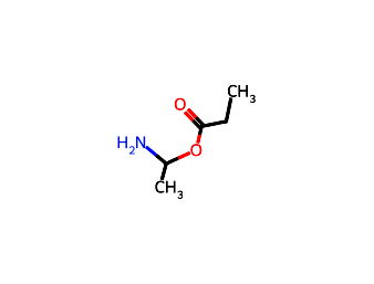 CCC(=O)OC(C)N